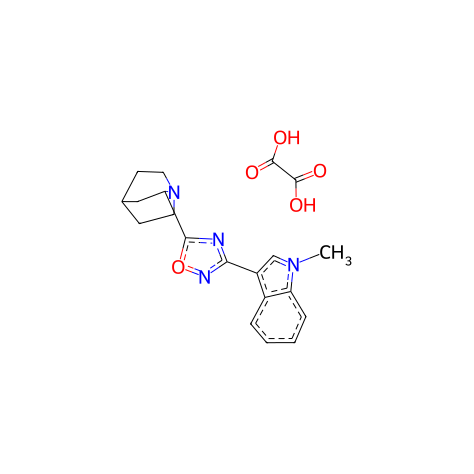 Cn1cc(-c2noc(C3CC4CCN3CC4)n2)c2ccccc21.O=C(O)C(=O)O